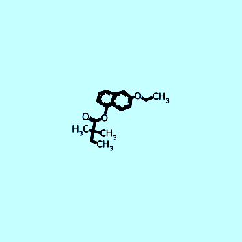 CCOc1ccc2c(OC(=O)C(C)(C)CC)cccc2c1